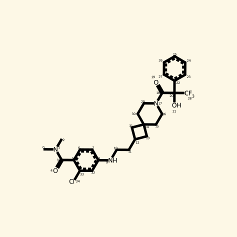 CN(C)C(=O)c1ccc(NCCC2CC3(CCN(C(=O)C(O)(c4ccccc4)C(F)(F)F)CC3)C2)cc1Cl